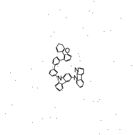 C1=Cc2c(oc3cccc(-c4cccc(-c5cccc(-n6c7ccccc7c7cc(-n8c9ccccc9c9cccnc98)ccc76)c5)c4)c23)CC1